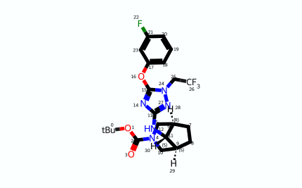 CC(C)(C)OC(=O)N1C[C@H]2CC[C@@H](C1)[C@@H]2Nc1nc(Oc2cccc(F)c2)n(CC(F)(F)F)n1